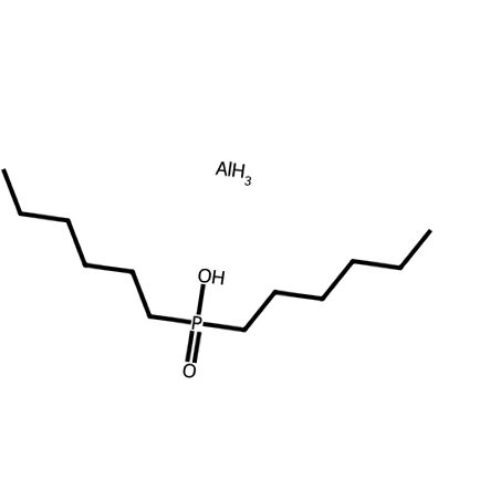 CCCCCCP(=O)(O)CCCCCC.[AlH3]